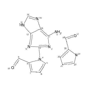 Nc1nc(-n2cccc2C=O)nc2[nH]cnc12.O=CC1=CC=C[N]1